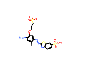 Cc1cc(N)c(OCCCS(=O)(=O)O)cc1N=Nc1nc2ccc(S(=O)(=O)O)cc2s1